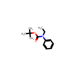 CCN(C(=O)OC(C)(C)C)c1c[c]ccc1